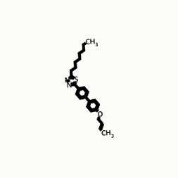 CC=CCOc1ccc(-c2ccc(-c3nnc(CCCCCCCC)s3)cc2)cc1